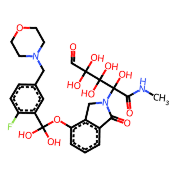 CNC(=O)C(O)(N1Cc2c(OC(O)(O)c3cc(CN4CCOCC4)ccc3F)cccc2C1=O)C(O)(O)C(O)(O)C=O